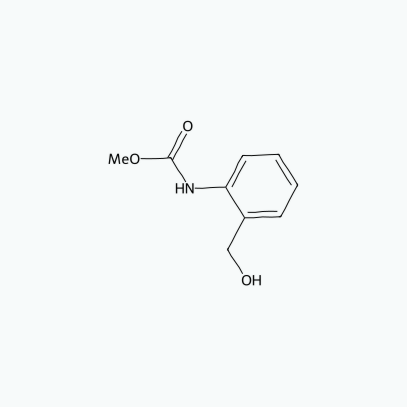 COC(=O)Nc1ccccc1CO